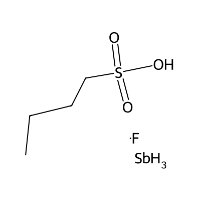 CCCCS(=O)(=O)O.[F].[SbH3]